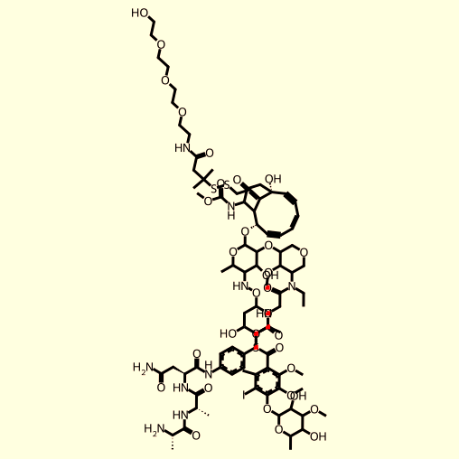 CCN(C(=O)CNC(=O)OCc1ccc(NC(=O)[C@H](CC(N)=O)NC(=O)[C@H](C)NC(=O)[C@H](C)N)cc1)C1COCC(OC2C(O[C@H]3C#C/C=C\C#C[C@]4(O)CC(=O)C(NC(=O)OC)C3/C4=C\CSSC(C)(C)CC(=O)NCCOCCOCCOCCO)OC(C)C(NOC3CC(O)C(SC(=O)c4c(C)c(I)c(OC5OC(C)C(O)C(OC)C5O)c(OC)c4OC)C(C)O3)C2O)C1OC